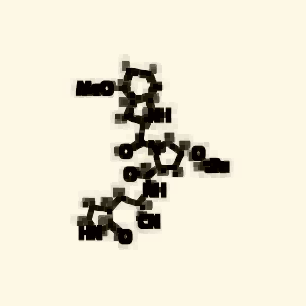 COc1cccc2[nH]c(C(=O)N3C[C@H](OC(C)(C)C)C[C@H]3C(=O)N[C@H](C#N)CC3CCNC3=O)cc12